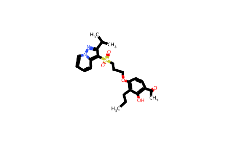 CCCc1c(OCCCS(=O)(=O)c2c(C(C)C)nn3ccccc23)ccc(C(C)=O)c1O